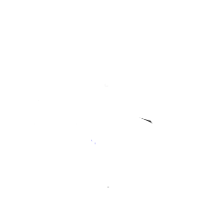 CC(C)(C)CN1C[C@H](CC(=O)O)O[C@@H](c2cccc3ccccc23)c2cc(Cl)ccc21